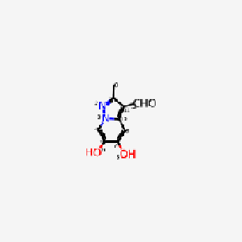 Cc1nn2cc(O)c(O)cc2c1C=O